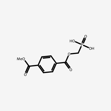 COC(=O)c1ccc(C(=O)OCP(=O)(O)O)cc1